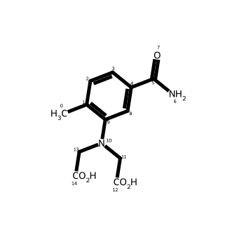 Cc1ccc(C(N)=O)cc1N(CC(=O)O)CC(=O)O